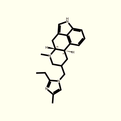 CCc1nc(C)cn1CC1C[C@@H]2c3cccc4[nH]cc(c34)C[C@H]2N(C)C1